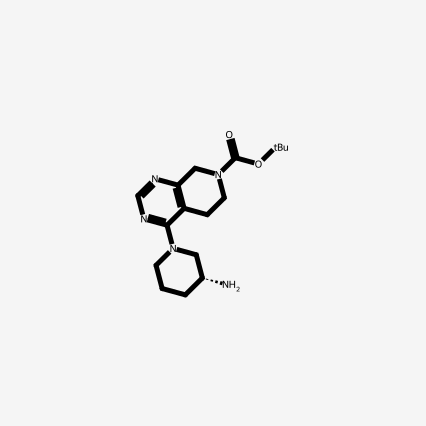 CC(C)(C)OC(=O)N1CCc2c(ncnc2N2CCC[C@@H](N)C2)C1